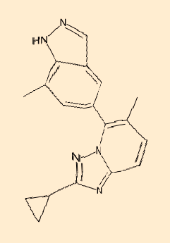 Cc1ccc2nc(C3CC3)nn2c1-c1cc(C)c2[nH]ncc2c1